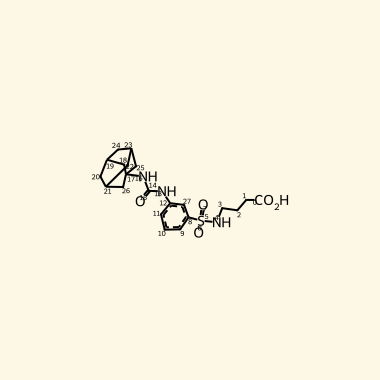 O=C(O)CCCNS(=O)(=O)c1cccc(NC(=O)NC23CC4CC(CC(C4)C2)C3)c1